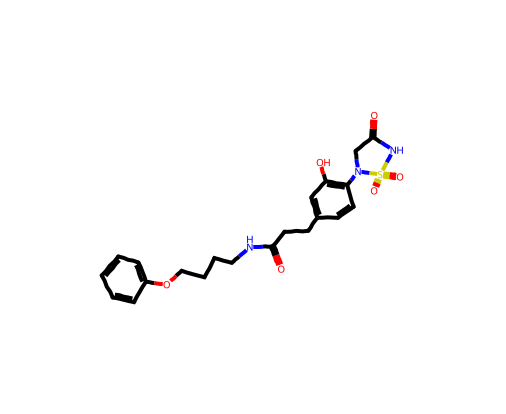 O=C(CCc1ccc(N2CC(=O)NS2(=O)=O)c(O)c1)NCCCCOc1ccccc1